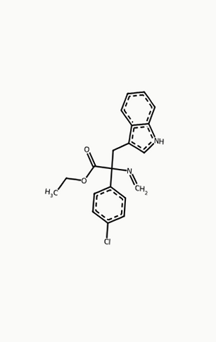 C=NC(Cc1c[nH]c2ccccc12)(C(=O)OCC)c1ccc(Cl)cc1